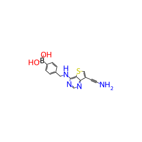 NC#Cc1csc2c(NCc3ccc(B(O)O)cc3)ncnc12